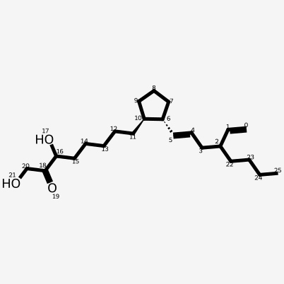 C=CC(CC=C[C@H]1CCC[C@@H]1CCCCCC(O)C(=O)CO)CCCC